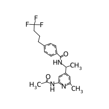 CC(=O)Nc1cc(C(C)NC(=O)c2ccc(CCCC(F)(F)F)cc2)cc(C)n1